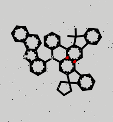 CC1(C)c2ccccc2-c2cccc(-c3ccccc3N(c3ccc4c(c3)C3(CCCC3)c3ccccc3-4)c3cccc4sc5c6ccccc6ccc5c34)c21